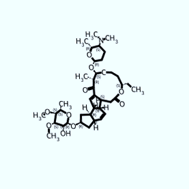 CC[C@H]1CCC[C@H](O[C@H]2CC[C@H](N(C)C)[C@@H](C)O2)[C@@H](C)C(=O)C2=C[C@@H]3[C@@H](C=C[C@@H]4C[C@@H](O[C@@H]5O[C@@H](C)[C@H](OC)[C@@H](OC)[C@H]5O)C[C@@H]34)[C@@H]2CC(=O)O1